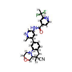 Cc1ncc(NC(=O)c2ccnc(C(C)(F)F)c2)cc1-c1ccc2c(c1)N1CCOCC1C(C)(C#N)C2